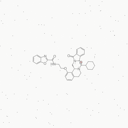 O=C(NCCOc1cccc2c1[C@@H](CN1C(=O)c3ccccc3C1=O)N(C(=O)C1CCCCC1)CC2)c1nc2ccccc2o1